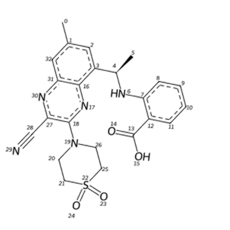 Cc1cc([C@@H](C)Nc2ccccc2C(=O)O)c2nc(N3CCS(=O)(=O)CC3)c(C#N)nc2c1